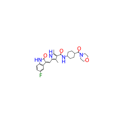 Cc1[nH]c(/C=C2\C(=O)Nc3ccc(F)cc32)c(C)c1C(=O)NC1CCC(C(=O)N2CCOCC2)CC1